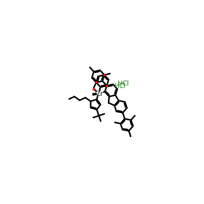 Cl.Cl.[CH2]=[Zr]([CH3])([C]1=CC(C(C)(C)C)=CC1CCCC)([c]1ccccc1)[c]1c(-c2c(C)cc(C)cc2C)ccc2c1Cc1cc(-c3c(C)cc(C)cc3C)ccc1-2